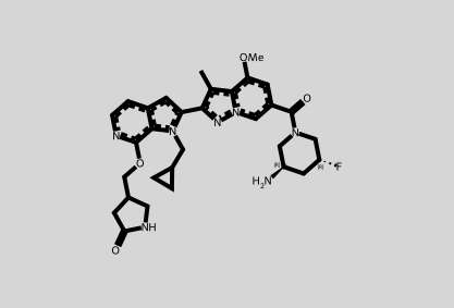 COc1cc(C(=O)N2C[C@H](N)C[C@@H](F)C2)cn2nc(-c3cc4ccnc(OCC5CNC(=O)C5)c4n3CC3CC3)c(C)c12